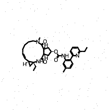 CCc1cccc(-c2ccc(C)cc2NC(=O)O[C@@H]2C[C@H]3C(=O)N[C@]4(CC)C[C@H]4/C=C\CCCCN(C)C(=O)[C@@H]3C2)n1